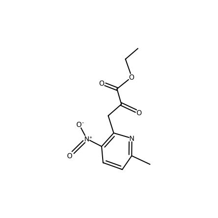 CCOC(=O)C(=O)Cc1nc(C)ccc1[N+](=O)[O-]